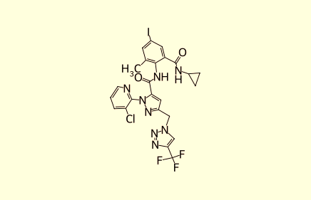 Cc1cc(I)cc(C(=O)NC2CC2)c1NC(=O)c1cc(Cn2cc(C(F)(F)F)nn2)nn1-c1ncccc1Cl